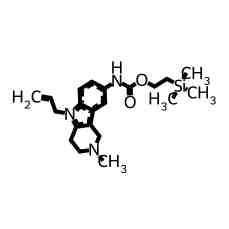 C=CCn1c2c(c3cc(NC(=O)OCC[Si](C)(C)C)ccc31)CN(C)CC2